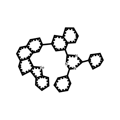 c1ccc(-c2nc(-c3ccccc3)nc(-c3cc(-c4ccc5ccc6ccc7c8ccccc8[se]c7c6c5c4)cc4ccccc34)n2)cc1